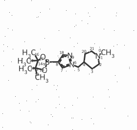 CN1CCC(Cn2cc(B3OC(C)(C)C(C)(C)O3)cn2)CC1